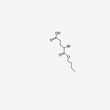 CCCCOC(=O)C(Br)CCC(=O)O